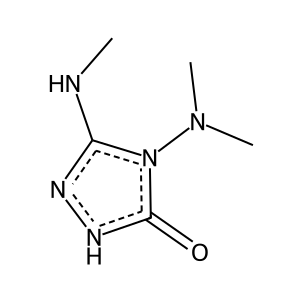 CNc1n[nH]c(=O)n1N(C)C